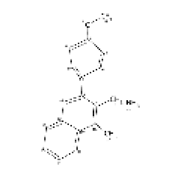 Cc1c(-c2ccc(OC(F)(F)F)cc2)cc2ccccc2c1C.N